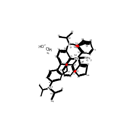 CC(C)N(c1ccc2c(c1)Cc1c-2ccc(N(C(C)C)C(C)C)[c]1[Zr](=[SiH2])([C]1=CC=CC1)([c]1ccccc1)[c]1ccccc1)C(C)C.Cl.Cl